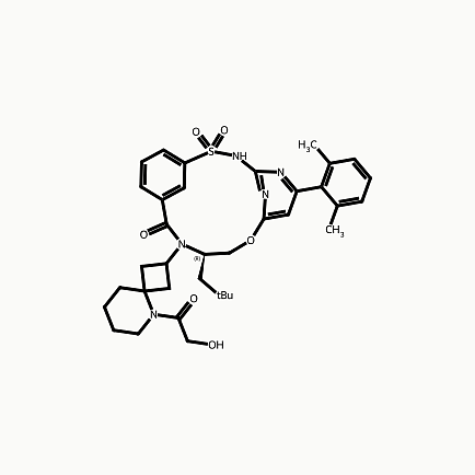 Cc1cccc(C)c1-c1cc2nc(n1)NS(=O)(=O)c1cccc(c1)C(=O)N(C1CC3(CCCCN3C(=O)CO)C1)[C@H](CC(C)(C)C)CO2